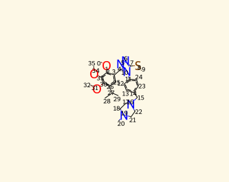 COc1c(-c2nnc(SC)n2-c2ccc(CN3CCN(C)CC3)cc2)cc(C(C)C)c(OC)c1OC